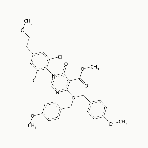 COCCc1cc(Cl)c(-n2cnc(N(Cc3ccc(OC)cc3)Cc3ccc(OC)cc3)c(C(=O)OC)c2=O)c(Cl)c1